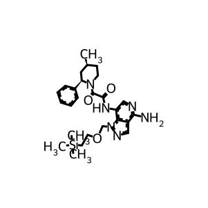 C[C@H]1CCN(C(=O)C(=O)Nc2cnc(N)c3cnn(COCC[Si](C)(C)C)c23)[C@@H](c2ccccc2)C1